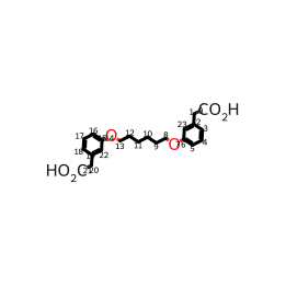 O=C(O)Cc1cccc(OCCCCCCOc2cccc(CC(=O)O)c2)c1